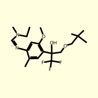 CCN(C)/C=N\c1cc(OC)c(C(O)(COCC(C)(C)C)C(F)(F)F)cc1C